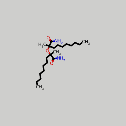 CCCCCCCCC(C)(OC(C)(CCCCCCCC)C(N)=O)C(N)=O